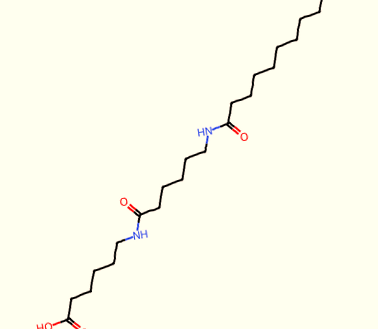 CCCCCCCCCC(=O)NCCCCCC(=O)NCCCCCC(=O)O